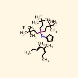 CC(C)(C)CCP(CCC(C)(C)C)(CCC(C)(C)C)=NC1=CC=CC1.CCC=C(C)C(C)=CCC.[Ti]